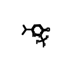 CC(C)c1ccc(=O)n(C(F)(F)F)n1